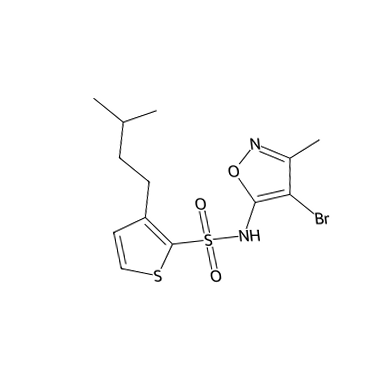 Cc1noc(NS(=O)(=O)c2sccc2CCC(C)C)c1Br